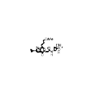 COCCCc1nn(CC(=O)N[C@H]2C[C@@](C)(O)C2)c(=O)c2cc(C3CC3)nn12